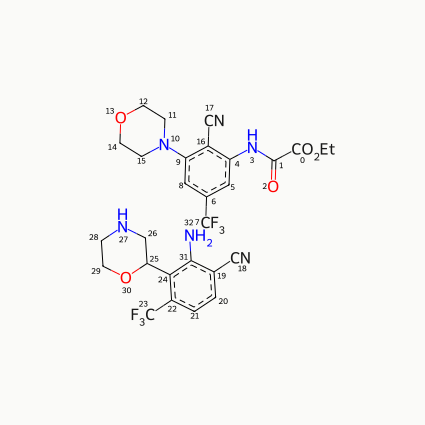 CCOC(=O)C(=O)Nc1cc(C(F)(F)F)cc(N2CCOCC2)c1C#N.N#Cc1ccc(C(F)(F)F)c(C2CNCCO2)c1N